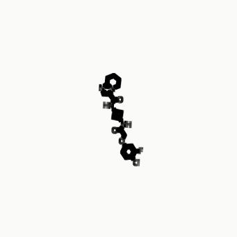 O=C(COc1ccc(Cl)c(F)c1)NC12CC(NC(=O)c3cnc4n3CCCC4)(C1)C2